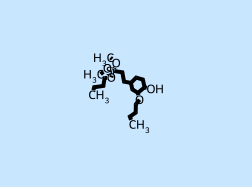 CCCCOC1CC(CC[Si](OC)(OC)OCCCC)CCC1O